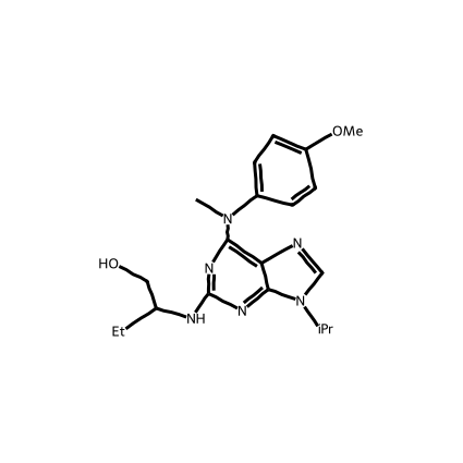 CCC(CO)Nc1nc(N(C)c2ccc(OC)cc2)c2ncn(C(C)C)c2n1